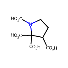 O=C(O)C1CCN(C(=O)O)C1(C(=O)O)C(=O)O